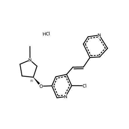 CN1CC[C@H](Oc2cnc(Cl)c(C=Cc3ccncc3)c2)C1.Cl